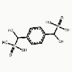 O=P(O)(O)C(O)c1ccc(C(O)P(=O)(O)O)cc1